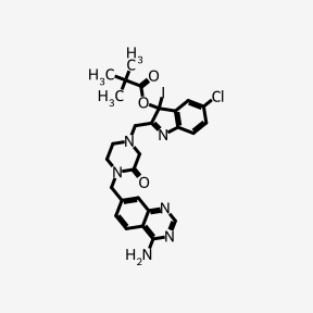 CC(C)(C)C(=O)OC1(I)C(CN2CCN(Cc3ccc4c(N)ncnc4c3)C(=O)C2)=Nc2ccc(Cl)cc21